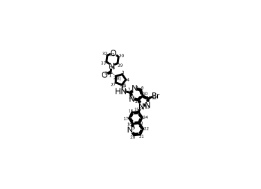 O=C([C@@H]1CC[C@@H](Nc2ncc3c(Br)nn(-c4ccc5ncccc5c4)c3n2)C1)N1CCOCC1